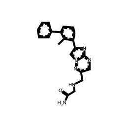 Cc1c(-c2ccccc2)cccc1-c1cn2nc(CNCC(N)=O)cnc2n1